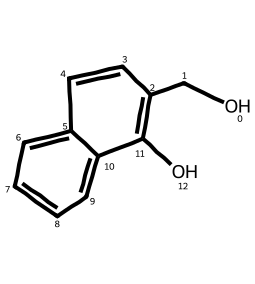 OCc1ccc2ccccc2c1O